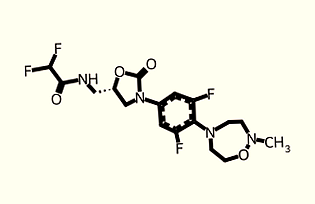 CN1CCN(c2c(F)cc(N3C[C@H](CNC(=O)C(F)F)OC3=O)cc2F)CCO1